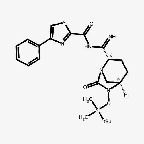 CC(C)(C)[Si](C)(C)ON1C(=O)N2C[C@H]1CC[C@H]2C(=N)NC(=O)c1nc(-c2ccccc2)cs1